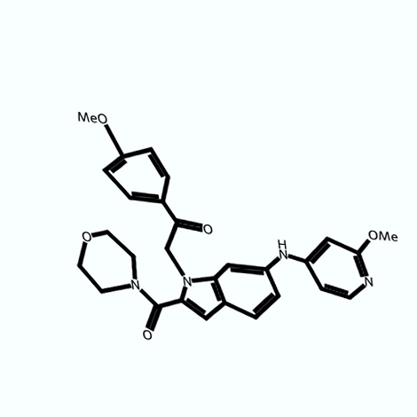 COc1ccc(C(=O)Cn2c(C(=O)N3CCOCC3)cc3ccc(Nc4ccnc(OC)c4)cc32)cc1